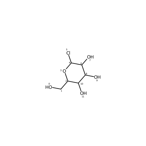 OCC1OC(Cl)C(O)C(O)C1O